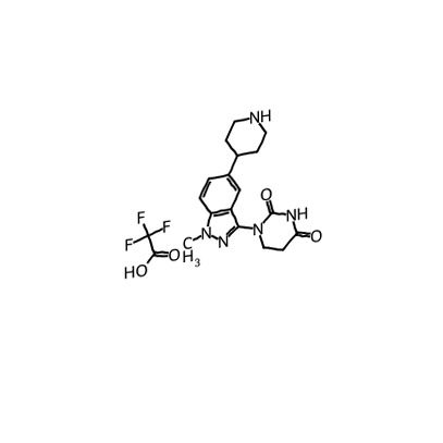 Cn1nc(N2CCC(=O)NC2=O)c2cc(C3CCNCC3)ccc21.O=C(O)C(F)(F)F